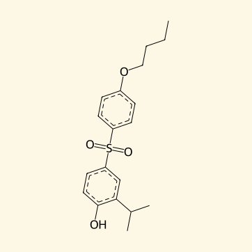 CCCCOc1ccc(S(=O)(=O)c2ccc(O)c(C(C)C)c2)cc1